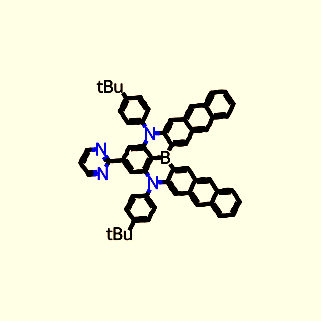 CC(C)(C)c1ccc(N2c3cc4cc5ccccc5cc4cc3B3c4cc5cc6ccccc6cc5cc4N(c4ccc(C(C)(C)C)cc4)c4cc(-c5ncccn5)cc2c43)cc1